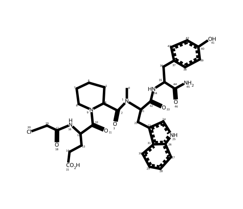 CN(C(=O)C1CCCCN1C(=O)C(CCC(=O)O)NC(=O)CCl)C(Cc1c[nH]c2ccccc12)C(=O)NC(Cc1ccc(O)cc1)C(N)=O